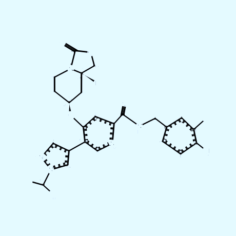 O=C(NCc1ccc(Cl)c(F)c1)c1cc(O[C@H]2CCN3C(=O)OC[C@@H]3C2)c(-c2cnn(C(F)F)c2)cn1